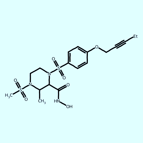 CCC#CCOc1ccc(S(=O)(=O)N2CCN(S(C)(=O)=O)C(C)C2C(=O)NO)cc1